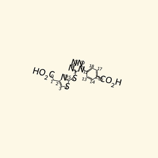 O=C(O)Cc1csc(Sc2nnnn2-c2ccc(C(=O)O)cc2)n1